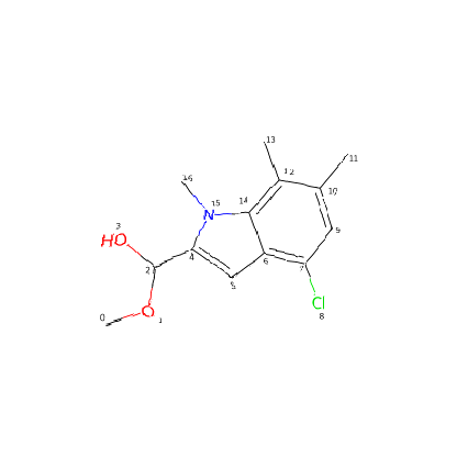 COC(O)c1cc2c(Cl)cc(C)c(C)c2n1C